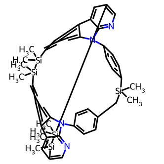 C[Si]1(C)Cc2ccc(cc2)-n2c3ccc4cc3c3cc(cnc32)[Si](C)(C)[Si](C)(C)c2cnc3c(c2)c2cc(ccc2n3-c2ccc1cc2)[Si](C)(C)[Si]4(C)C